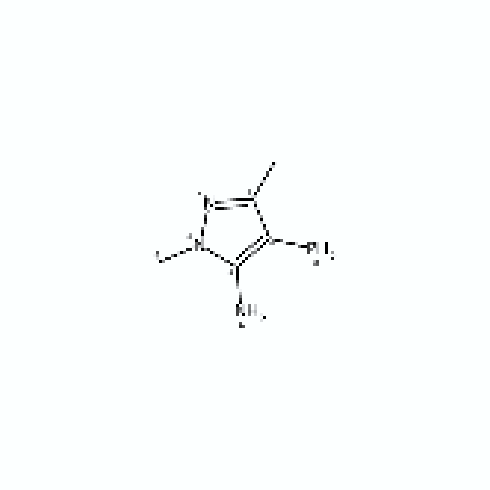 Cc1nn(C)c(N)c1P